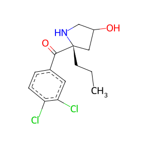 CCC[C@]1(C(=O)c2ccc(Cl)c(Cl)c2)CC(O)CN1